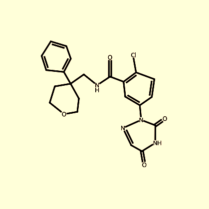 O=C(NCC1(c2ccccc2)CCOCC1)c1cc(-n2ncc(=O)[nH]c2=O)ccc1Cl